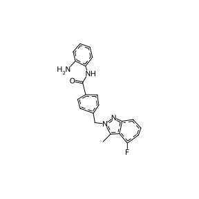 Cc1c2c(F)cccc2nn1Cc1ccc(C(=O)Nc2ccccc2N)cc1